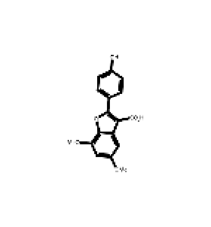 COc1cc(OC)c2oc(-c3ccc(O)cc3)c(C(=O)O)c2c1